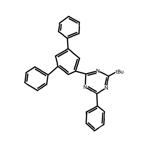 CC(C)(C)c1nc(-c2ccccc2)nc(-c2cc(-c3ccccc3)cc(-c3ccccc3)c2)n1